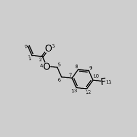 C=[C]C(=O)OCCc1ccc(F)cc1